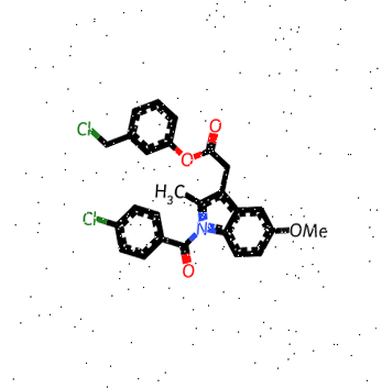 COc1ccc2c(c1)c(CC(=O)Oc1cccc(CCl)c1)c(C)n2C(=O)c1ccc(Cl)cc1